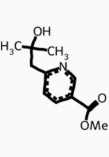 COC(=O)c1ccc(CC(C)(C)O)nc1